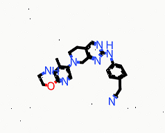 Cc1c(N2CCc3cnc(Nc4ccc(CC#N)cc4)nc3C2)cnc2c1NCCO2